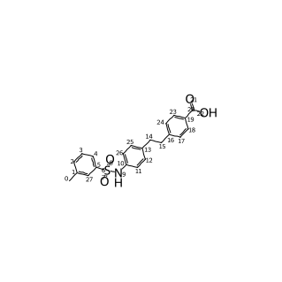 Cc1cccc(S(=O)(=O)Nc2ccc(CCc3ccc(C(=O)O)cc3)cc2)c1